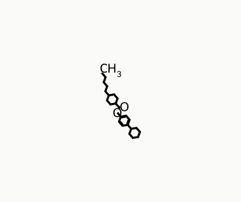 CCCCCCC1CCC(C(=O)Oc2ccc(C3CCCCC3)cc2)CC1